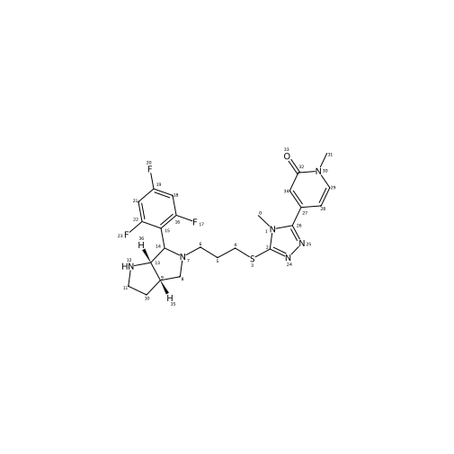 Cn1c(SCCCN2C[C@@H]3CCN[C@@H]3C2c2c(F)cc(F)cc2F)nnc1-c1ccn(C)c(=O)c1